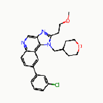 COCCc1nc2cnc3ccc(-c4cccc(Cl)c4)cc3c2n1CC1CCOCC1